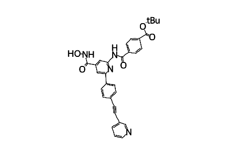 CC(C)(C)OC(=O)c1ccc(C(=O)Nc2cc(C(=O)NO)cc(-c3ccc(C#Cc4cccnc4)cc3)n2)cc1